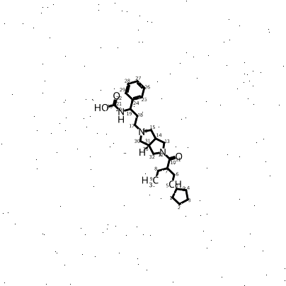 C1CCCC1.CCC(CC)C(=O)N1CC2CN(CCC(NC(=O)O)c3ccccc3)C[C@H]2C1